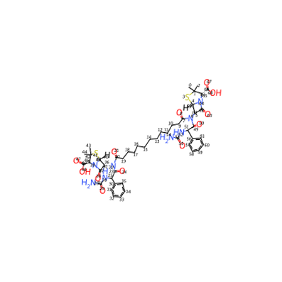 CC1(C)S[C@@H]2[C@H](N(C(=O)CCCCCCCCCCCC(=O)N(C(=O)C(NC(N)=O)c3ccccc3)[C@@H]3C(=O)N4[C@@H]3SC(C)(C)[C@@H]4C(=O)O)C(=O)C(NC(N)=O)c3ccccc3)C(=O)N2[C@H]1C(=O)O